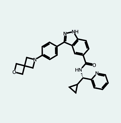 O=C(N[C@H](c1ccccn1)C1CC1)c1ccc2[nH]nc(-c3ccc(N4CC5(COC5)C4)cc3)c2c1